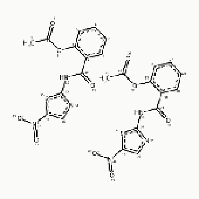 CC(=O)Oc1ccccc1C(=O)Nc1ncc([N+](=O)[O-])s1.CC(=O)Oc1ccccc1C(=O)Nc1ncc([N+](=O)[O-])s1